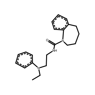 CCN(CCNC(=O)N1CCCCc2ccccc21)c1ccccc1